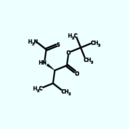 CC(C)[C@H](NC(N)=S)C(=O)OC(C)(C)C